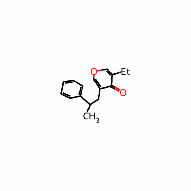 CCc1cocc(CC(C)c2ccccc2)c1=O